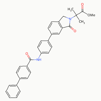 COC(=O)C(C)(C)N1Cc2ccc(-c3ccc(NC(=O)c4ccc(-c5ccccc5)cc4)cc3)cc2C1=O